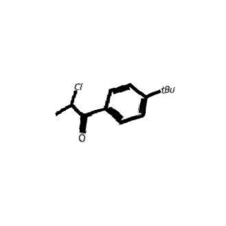 CC(Cl)C(=O)c1ccc(C(C)(C)C)cc1